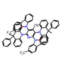 CC1(c2ccccc2)c2ccccc2N(c2nc(-n3c4ccccc4c4ccc(C(F)(F)F)cc43)c(N3c4ccccc4C(C)(c4ccccc4)c4ccccc43)c(C#N)c2-n2c3ccccc3c3ccc(C(F)(F)F)cc32)c2ccccc21